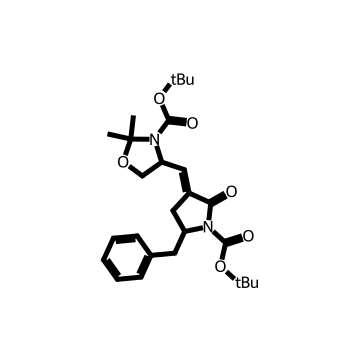 CC(C)(C)OC(=O)N1C(=O)C(=CC2COC(C)(C)N2C(=O)OC(C)(C)C)CC1Cc1ccccc1